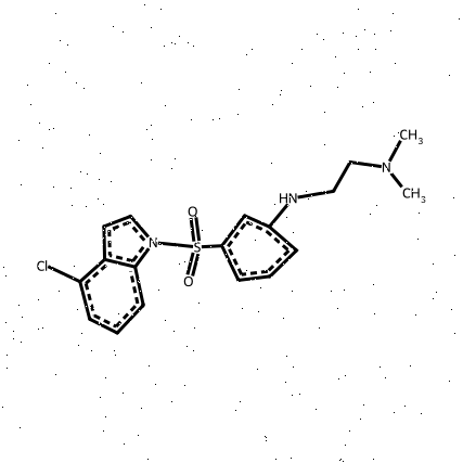 CN(C)CCNc1cccc(S(=O)(=O)n2ccc3c(Cl)cccc32)c1